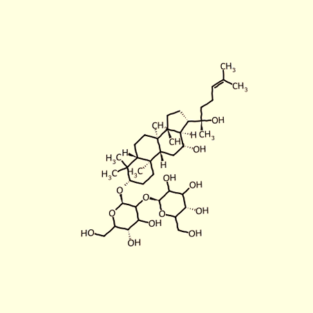 CC(C)=CCC[C@](C)(O)[C@H]1CC[C@]2(C)[C@@H]1[C@H](O)C[C@@H]1[C@@]3(C)CC[C@H](O[C@@H]4OC(CO)[C@@H](O)C(O)C4O[C@@H]4OC(CO)[C@@H](O)C(O)C4O)C(C)(C)[C@@H]3CC[C@]12C